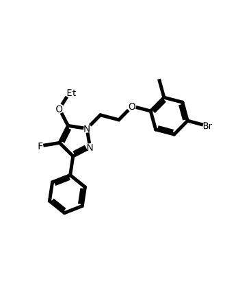 CCOc1c(F)c(-c2ccccc2)nn1CCOc1ccc(Br)cc1C